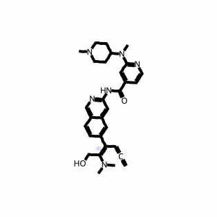 C=C=C/C(=C(/CO)N(C)C)c1ccc2cnc(NC(=O)c3ccnc(N(C)C4CCN(C)CC4)c3)cc2c1